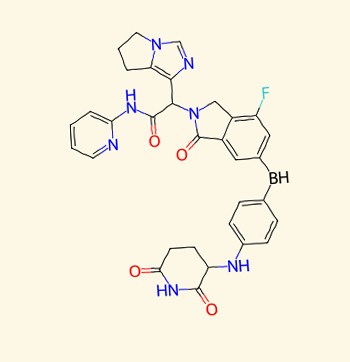 O=C1CCC(Nc2ccc(Bc3cc(F)c4c(c3)C(=O)N(C(C(=O)Nc3ccccn3)c3ncn5c3CCC5)C4)cc2)C(=O)N1